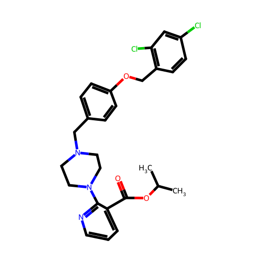 CC(C)OC(=O)c1cccnc1N1CCN(Cc2ccc(OCc3ccc(Cl)cc3Cl)cc2)CC1